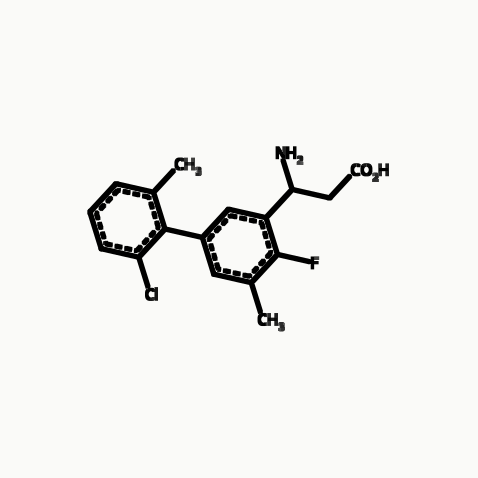 Cc1cc(-c2c(C)cccc2Cl)cc(C(N)CC(=O)O)c1F